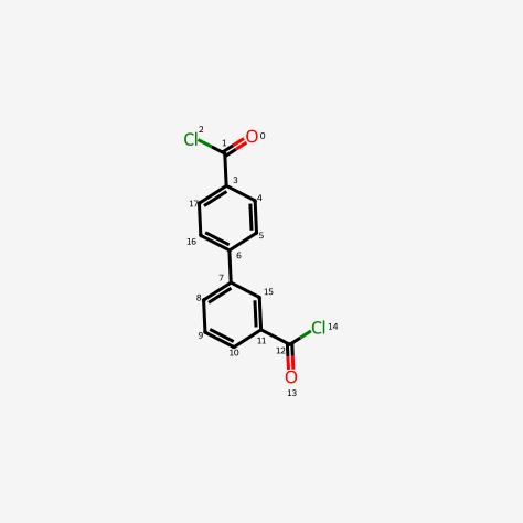 O=C(Cl)c1ccc(-c2cccc(C(=O)Cl)c2)cc1